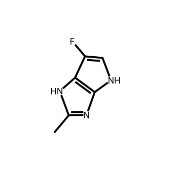 Cc1nc2[nH]cc(F)c2[nH]1